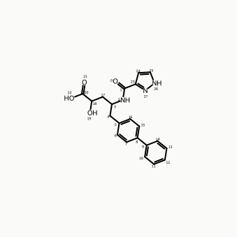 O=C(NC(Cc1ccc(-c2ccccc2)cc1)CC(O)C(=O)O)c1cc[nH]n1